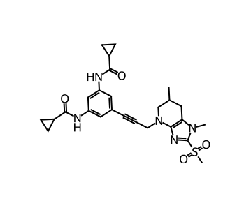 CC1Cc2c(nc(S(C)(=O)=O)n2C)N(CC#Cc2cc(NC(=O)C3CC3)cc(NC(=O)C3CC3)c2)C1